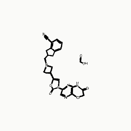 N#Cc1cccc2c1CC(CN1CC(C3CN(c4cnc5c(n4)NC(=O)CO5)C(=O)O3)C1)C2.O=CO